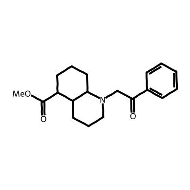 COC(=O)C1CCCC2C1CCCN2CC(=O)c1ccccc1